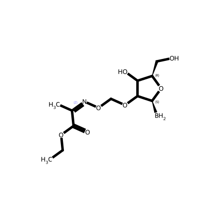 B[C@@H]1O[C@H](CO)C(O)C1OCO/N=C(/C)C(=O)OCC